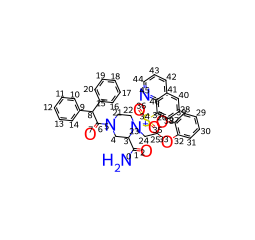 NC(=O)C1CN(C(=O)C(c2ccccc2)c2ccccc2)CC[N+]1(CC1Oc2ccccc2O1)S(=O)(=O)c1cccc2cccnc12